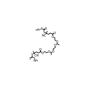 CCCSC(=S)SC(C)(C#N)CCC(=O)OCCOC(C)OCCOC(C)OCCOC(=O)CCC(C)(C#N)SC(=S)SCCC